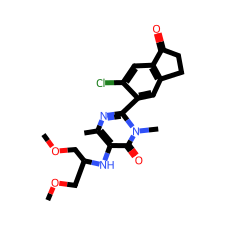 COCC(COC)Nc1c(C)nc(-c2cc3c(cc2Cl)C(=O)CC3)n(C)c1=O